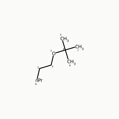 [CH2]CC[CH]COC(C)(C)C